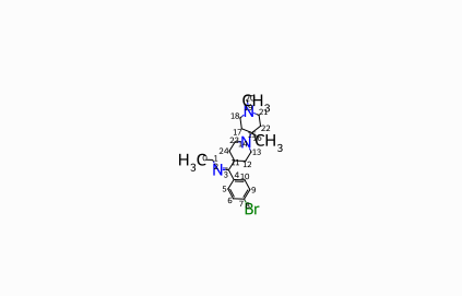 CCN=C(c1ccc(Br)cc1)C1CCN(C2(C)CCN(C)CC2)CC1